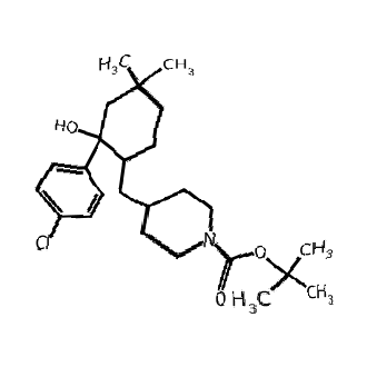 CC1(C)CCC(CC2CCN(C(=O)OC(C)(C)C)CC2)C(O)(c2ccc(Cl)cc2)C1